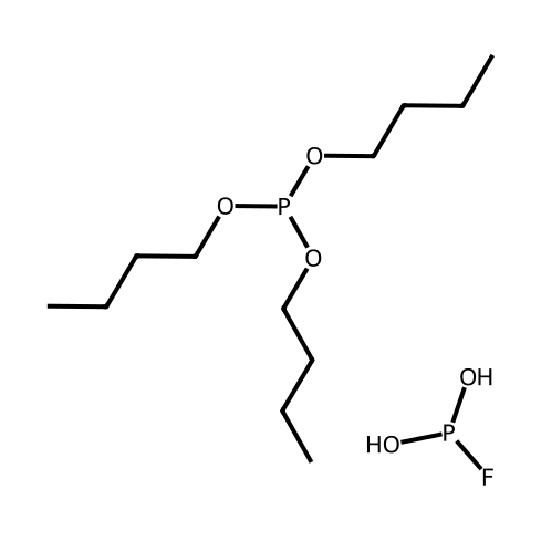 CCCCOP(OCCCC)OCCCC.OP(O)F